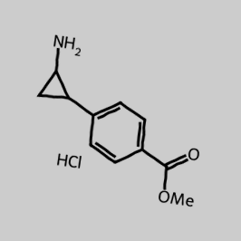 COC(=O)c1ccc(C2CC2N)cc1.Cl